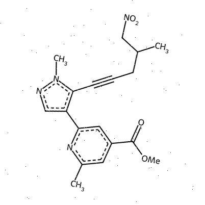 COC(=O)c1cc(C)nc(-c2cnn(C)c2C#CCC(C)C[N+](=O)[O-])c1